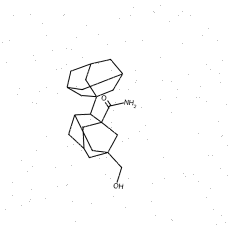 NC(=O)C12CC3CC(CC(CO)(C3)C1)C2C12CC3CC(CC(C3)C1)C2